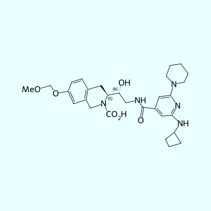 COCOc1ccc2c(c1)CN(C(=O)O)[C@H]([C@H](O)CNC(=O)c1cc(NC3CCC3)nc(N3CCCCC3)c1)C2